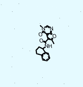 Cc1oc2ncn(C)c(=O)c2c1C(=O)NC1CCCc2ccccc21